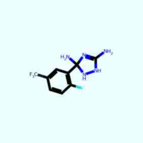 NC1=NC(N)(c2cc(C(F)(F)F)ccc2F)NN1